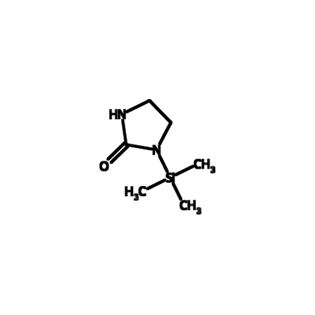 C[Si](C)(C)N1CCNC1=O